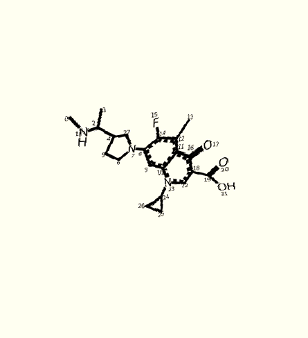 CNC(C)C1CCN(c2cc3c(c(C)c2F)c(=O)c(C(=O)O)cn3C2CC2)C1